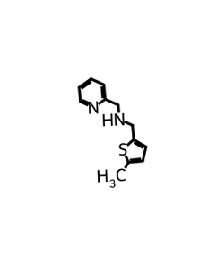 Cc1ccc(CNCc2ccccn2)s1